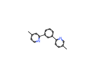 Cc1ccc(-c2cccc(-c3cc(C)ccn3)c2)nc1